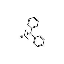 CCC.[Ni].c1ccc(Pc2ccccc2)cc1